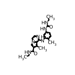 CCNC(=O)Nc1ccc(C)c(Nc2nccn3cc(C(=O)NCC)c(C)c23)c1